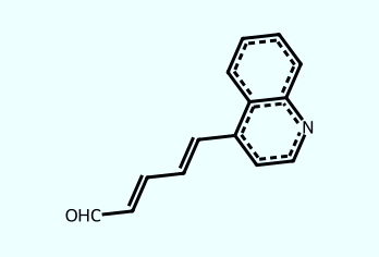 O=CC=CC=Cc1ccnc2ccccc12